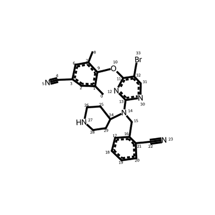 Cc1cc(C#N)cc(C)c1Oc1nc(N(Cc2ccccc2C#N)C2CCNCC2)ncc1Br